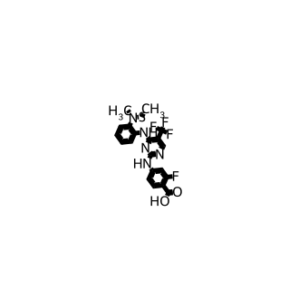 CSN(C)c1ccccc1Nc1nc(Nc2ccc(C(=O)O)c(F)c2)ncc1C(F)(F)F